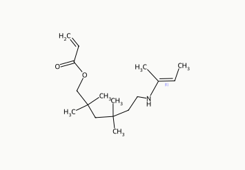 C=CC(=O)OCC(C)(C)CC(C)(C)CCN/C(C)=C/C